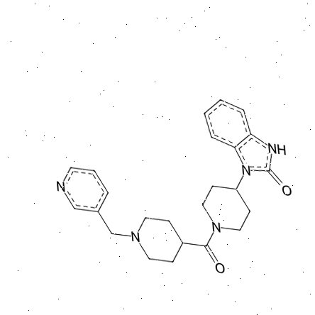 O=C(C1CCN(Cc2cccnc2)CC1)N1CCC(n2c(=O)[nH]c3ccccc32)CC1